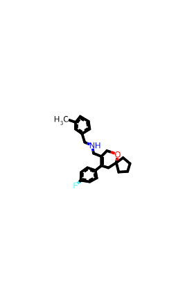 Cc1cccc(CNCC2=C(c3ccc(F)cc3)CC3(CCCC3)OC2)c1